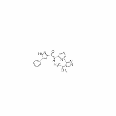 CC(C)n1cnnc1-c1cncc(NC(=O)c2cc(-c3ccccc3)[nH]n2)n1